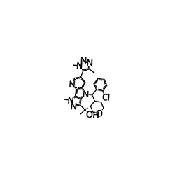 Cc1nnn(C)c1-c1cnc2c3c(c(C(C)(C)O)nn3C)n(C(c3ccccc3Cl)C3CCOCC3)c2c1